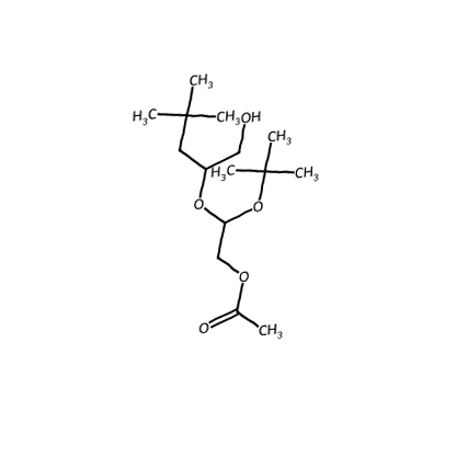 CC(=O)OCC(OC(CO)CC(C)(C)C)OC(C)(C)C